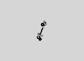 O=Cc1c(OCCCCCCC(=O)NC2NCCc3ccccc32)cccc1[N+](=O)[O-]